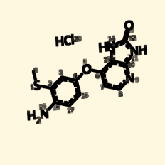 CSc1cc(Oc2ccnc3[nH]c(=O)[nH]c23)ccc1N.Cl